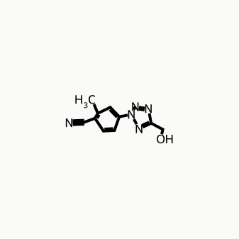 Cc1cc(-n2nnc(CO)n2)ccc1C#N